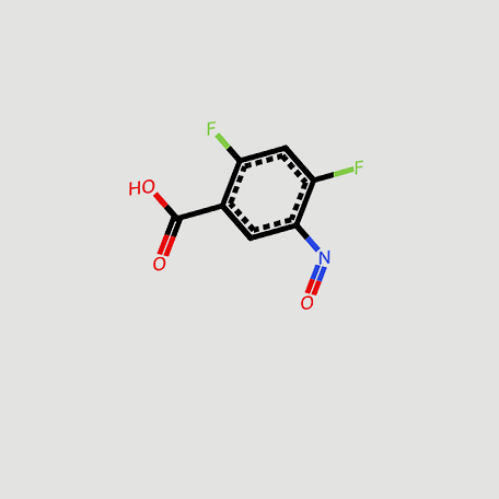 O=Nc1cc(C(=O)O)c(F)cc1F